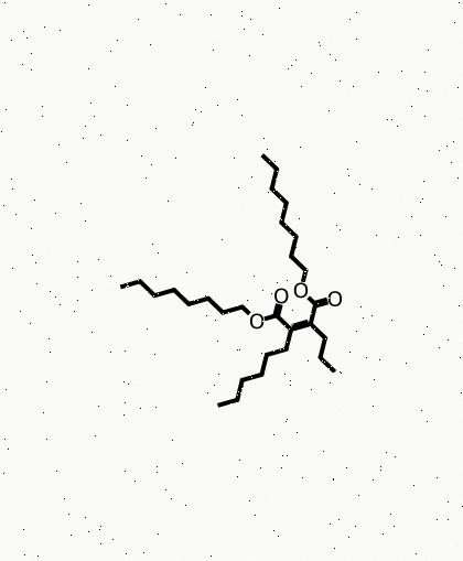 CCCCCCCCOC(=O)C(CCC)=C(CCCCCC)C(=O)OCCCCCCCC